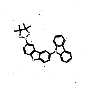 CC1(C)OB(c2ccc3oc4ccc(-n5c6ccccc6c6ccccc65)cc4c3c2)OC1(C)C